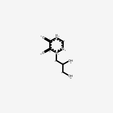 O=c1[nH][c]nn(CC(O)CO)c1=O